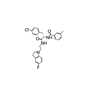 Cc1cccc(C(=O)N[C@@H](Cc2ccc(Cl)cc2)C(=O)NCCN2CCc3cc(F)ccc32)c1